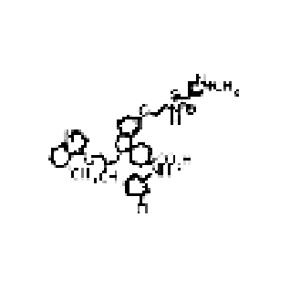 C[C@@H](COc1ccnc2c1[C@H](C)CCC2)C[C@H]1Cc2ccc(OCCNS(=O)(=O)c3cnn(C)c3)cc2C12CCC(Nc1cccc(Cl)c1)(C(=O)O)CC2